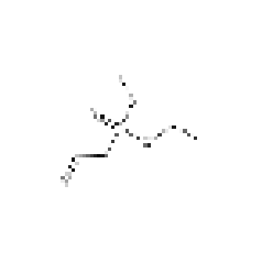 C=CCP(=O)(CC)OCC